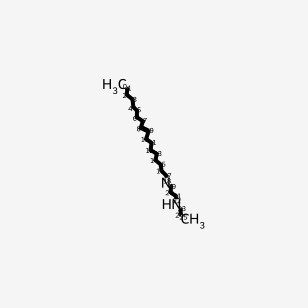 CCCCCCCCC=CCCCCCCCCN=CCCNCCC